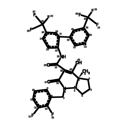 C[C@]12CCCN1N(Cc1cccc(F)c1F)C(=O)C(C(=O)Nc1ccc(C(F)(F)F)cc1-c1cncc(C(F)(F)F)c1)=C2O